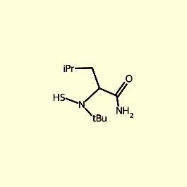 CC(C)CC(C(N)=O)N(S)C(C)(C)C